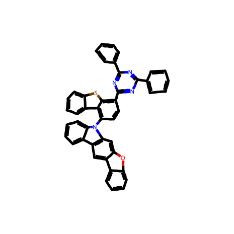 c1ccc(-c2nc(-c3ccccc3)nc(-c3ccc(-n4c5ccccc5c5cc6c(cc54)oc4ccccc46)c4c3sc3ccccc34)n2)cc1